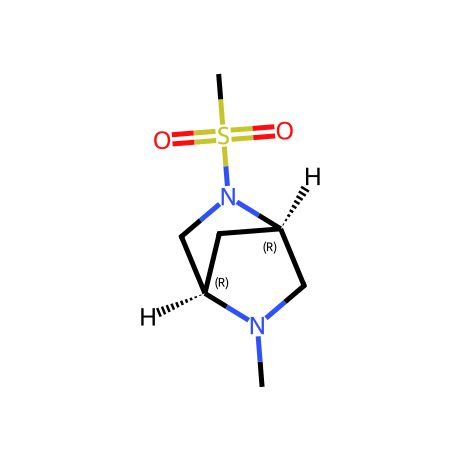 CN1C[C@H]2C[C@@H]1CN2S(C)(=O)=O